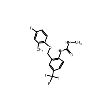 CNC(=O)Nc1ccc(C(F)(F)F)cc1COc1ccc(F)cc1C